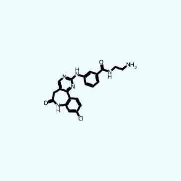 NCCNC(=O)c1cccc(Nc2ncc3c(n2)-c2ccc(Cl)cc2NC(=O)C3)c1